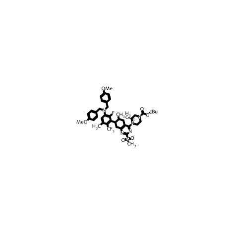 COc1ccc(CN(Cc2ccc(OC)cc2)c2cc(C)c(C(F)(F)F)c(C3Cc4nc(S(C)(=O)=O)nc(N5CCN(C(=O)OC(C)(C)C)C[C@@H]5C)c4CC3C)c2F)cc1